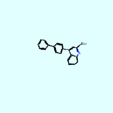 CC(C)(C)c1cc(-c2ccc(-c3ccccc3)cc2)c2ccccc2n1